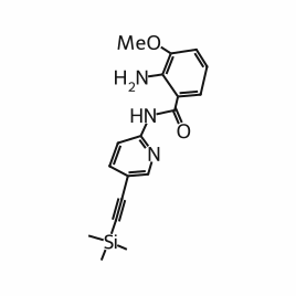 COc1cccc(C(=O)Nc2ccc(C#C[Si](C)(C)C)cn2)c1N